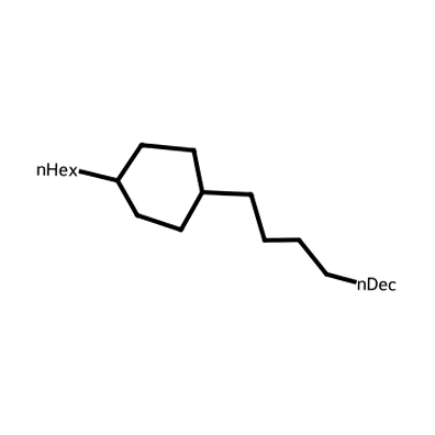 CCCCCCCCCCCCCCC1CCC(CCCCCC)CC1